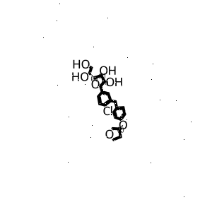 OCC(O)[C@H]1OC(c2ccc(Cl)c(Cc3ccc(O[C@@H]4CCOC4)cc3)c2)[C@H](O)[C@H]1O